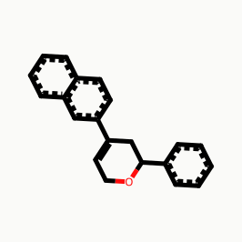 C1=C(c2ccc3ccccc3c2)CC(c2ccccc2)OC1